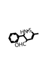 CC1=CC(C=O)C(c2ccccc2)NS1